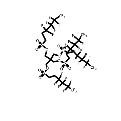 O=S(=O)(CCC(F)(F)C(F)(F)C(F)(F)C(F)(F)F)OCC(COS(=O)(=O)CCC(F)(F)C(F)(F)C(F)(F)C(F)(F)F)(COS(=O)(=O)CCC(F)(F)C(F)(F)C(F)(F)C(F)(F)F)COS(=O)(=O)CCC(F)(F)C(F)(F)C(F)(F)C(F)(F)F